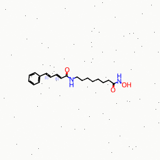 O=C(/C=C/C=C/c1ccccc1)NCCCCCCCC(=O)NO